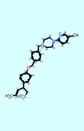 CC=CC(CC(=O)O)c1ccc(OCc2ccc(CN3CCN(c4ccc(C#N)cn4)CC3)cc2)cc1